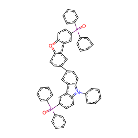 O=P(c1ccccc1)(c1ccccc1)c1ccc2oc3ccc(-c4ccc5c(c4)c4cc(P(=O)(c6ccccc6)c6ccccc6)ccc4n5-c4ccccc4)cc3c2c1